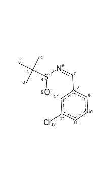 CC(C)(C)[S+]([O-])/N=C\c1cccc(Cl)c1